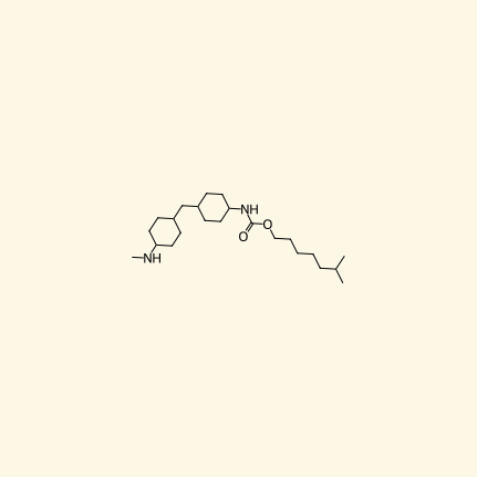 CNC1CCC(CC2CCC(NC(=O)OCCCCCC(C)C)CC2)CC1